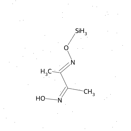 CC(=NO)C(C)=NO[SiH3]